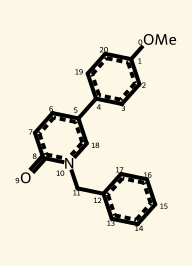 COc1ccc(-c2ccc(=O)n(Cc3ccccc3)c2)cc1